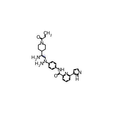 C=CC(=O)N1CCC(/C(N)=C/N(N)c2ccc(NC(=O)c3cccc(-c4ccn[nH]4)n3)cc2)CC1